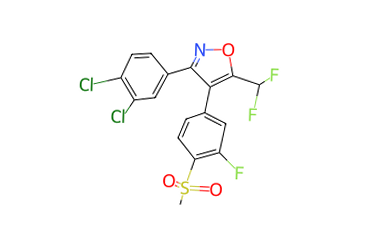 CS(=O)(=O)c1ccc(-c2c(-c3ccc(Cl)c(Cl)c3)noc2C(F)F)cc1F